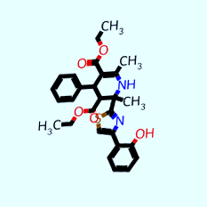 CCOC(=O)C1=C(C)NC(C)(c2nc(-c3ccccc3O)cs2)C(C(=O)OCC)C1c1ccccc1